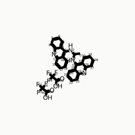 CC(Nc1c2ccccc2nc2ccccc12)Nc1c2ccccc2nc2ccccc12.O=C(O)C(F)(F)F.O=C(O)C(F)(F)F